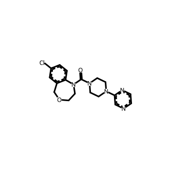 O=C(N1CCN(c2cnccn2)CC1)N1CCOCc2cc(Cl)ccc21